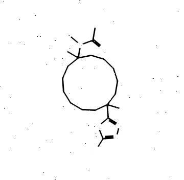 CC(=O)N(C)C1(C)CCCCCCC(C)(c2nnc(S)o2)CCCCC1